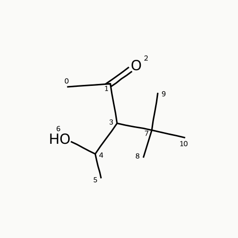 CC(=O)C(C(C)O)C(C)(C)C